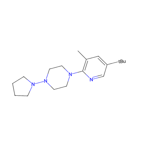 Cc1cc(C(C)(C)C)cnc1N1CCN(N2CCCC2)CC1